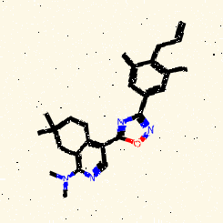 C=CCc1c(C)cc(-c2noc(-c3cnc(N(C)C)c4c3CCC(C)(C)C4)n2)cc1C